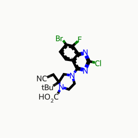 CC(C)(C)C1(CC#N)CN(c2nc(Cl)nc3c(F)c(Br)ccc23)CCN1C(=O)O